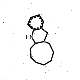 c1ccc2c(c1)CC1CCCCCCCC1N2